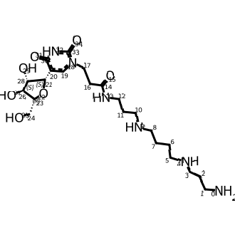 NCCCNCCCCNCCCNC(=O)CCn1cc([C@@H]2O[C@H](CO)C(O)[C@@H]2O)c(=O)[nH]c1=O